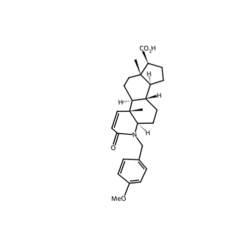 COc1ccc(CN2C(=O)C=C[C@]3(C)[C@H]4CC[C@]5(C)[C@@H](C(=O)O)CC[C@H]5[C@@H]4CC[C@@H]23)cc1